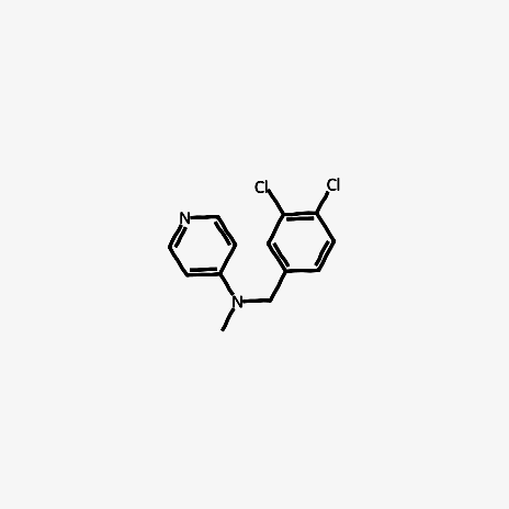 CN(Cc1ccc(Cl)c(Cl)c1)c1ccncc1